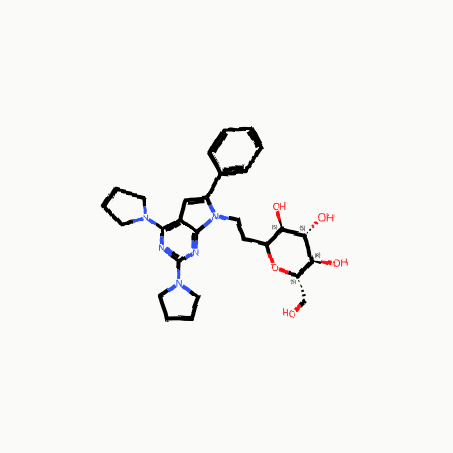 OC[C@@H]1OC(CCn2c(-c3ccccc3)cc3c(N4CCCC4)nc(N4CCCC4)nc32)[C@@H](O)[C@H](O)[C@H]1O